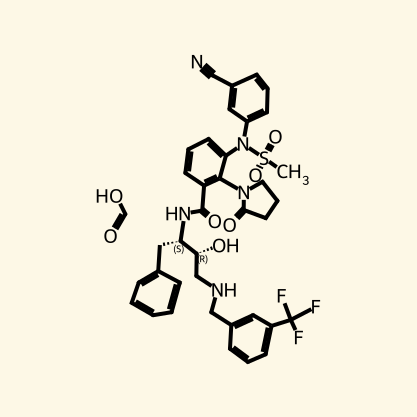 CS(=O)(=O)N(c1cccc(C#N)c1)c1cccc(C(=O)N[C@@H](Cc2ccccc2)[C@H](O)CNCc2cccc(C(F)(F)F)c2)c1N1CCCC1=O.O=CO